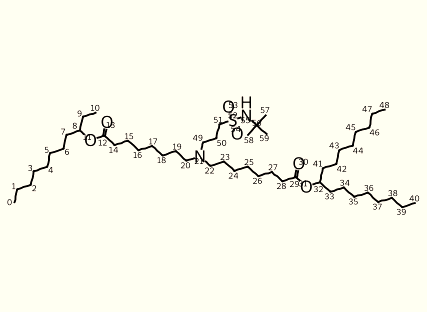 CCCCCCCCC(CC)OC(=O)CCCCCCCN(CCCCCCCC(=O)OC(CCCCCCCC)CCCCCCCC)CCCS(=O)(=O)NC(C)(C)C